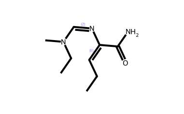 CC/C=C(/N=C\N(C)CC)C(N)=O